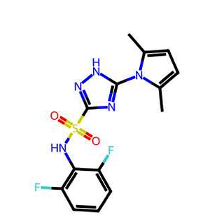 Cc1ccc(C)n1-c1nc(S(=O)(=O)Nc2c(F)cccc2F)n[nH]1